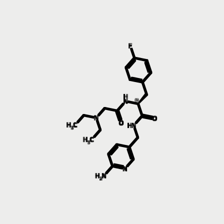 CCN(CC)CC(=O)N[C@@H](Cc1ccc(F)cc1)C(=O)NCc1ccc(N)nc1